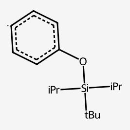 CC(C)[Si](Oc1cc[c]cc1)(C(C)C)C(C)(C)C